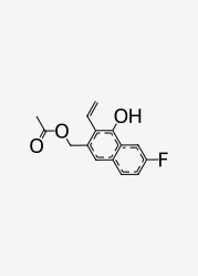 C=Cc1c(COC(C)=O)cc2ccc(F)cc2c1O